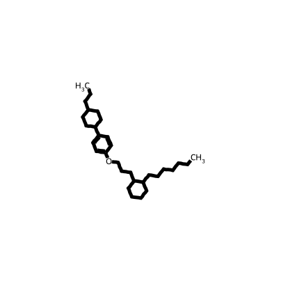 CCCCCCCC1CCCCC1CCCOc1ccc(C2CCC(CCC)CC2)cc1